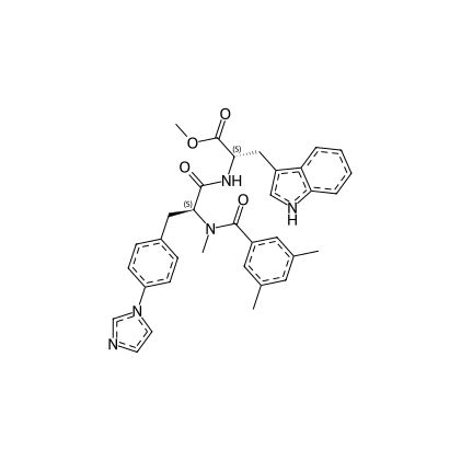 COC(=O)[C@H](Cc1c[nH]c2ccccc12)NC(=O)[C@H](Cc1ccc(-n2ccnc2)cc1)N(C)C(=O)c1cc(C)cc(C)c1